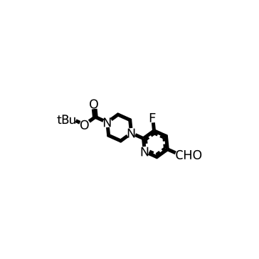 CC(C)(C)OC(=O)N1CCN(c2ncc(C=O)cc2F)CC1